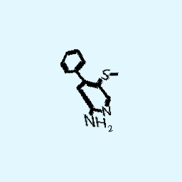 CSc1cnc(N)cc1-c1ccccc1